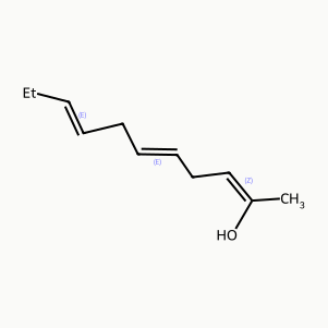 CC/C=C/C/C=C/C/C=C(/C)O